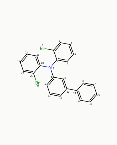 Brc1ccccc1N(c1cccc(-c2ccccc2)c1)c1ccccc1Br